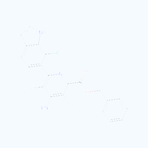 Nc1c(F)c(-c2ccc3cc[nH]c3c2F)nc(C(=O)OCc2ccccc2)c1Cl